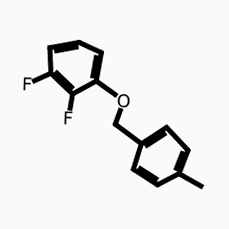 Cc1ccc(COc2cccc(F)c2F)cc1